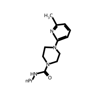 CCCNC(=O)N1CCN(c2cccc(C)n2)CC1